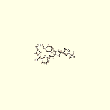 COC1CN(C(=O)c2cnnc(N(Cc3ccc(-c4noc(C(F)(F)F)n4)s3)c3cnccn3)c2)C1